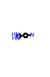 N#Cc1ccc(C2=CNCNC2)cc1